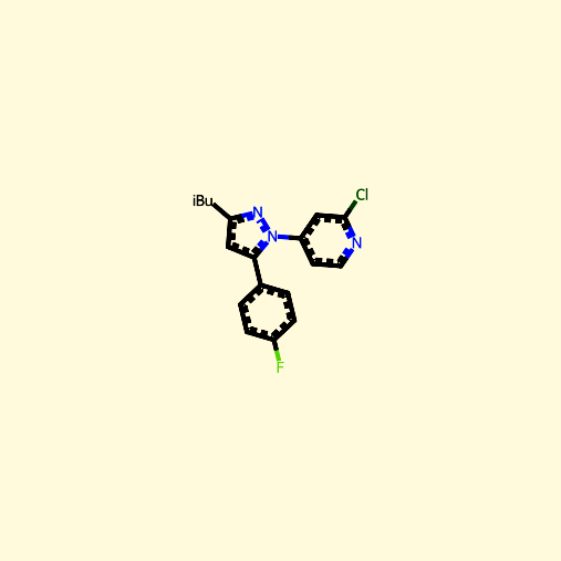 CCC(C)c1cc(-c2ccc(F)cc2)n(-c2ccnc(Cl)c2)n1